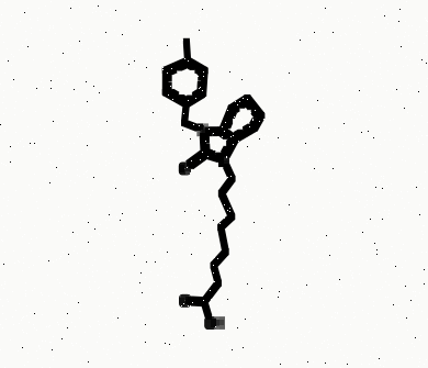 Cc1ccc(Cn2c(=O)n(CCCCCCCC(=O)O)c3ccccc32)cc1